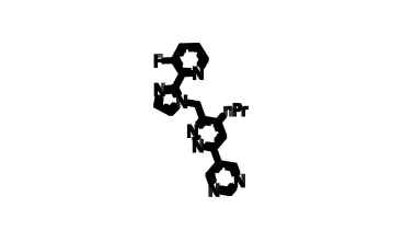 CCCc1cc(-c2cncnc2)nnc1Cn1ccnc1-c1ncccc1F